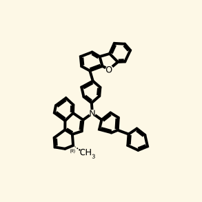 C[C@@H]1CC=Cc2c1cc(N(c1ccc(-c3ccccc3)cc1)c1ccc(-c3cccc4c3oc3ccccc34)cc1)c1ccccc21